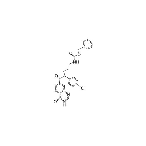 O=C(NCCCN(C(=O)c1ccc2c(=O)[nH]cnc2c1)c1ccc(Cl)cc1)OCc1ccccc1